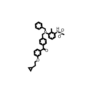 Cc1c(NS(C)(=O)=O)cccc1N(Cc1ccccc1)Cc1ccc(C(=O)c2cccc(OCCC3CC3)c2)cc1